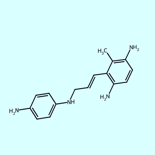 Cc1c(N)ccc(N)c1C=CCNc1ccc(N)cc1